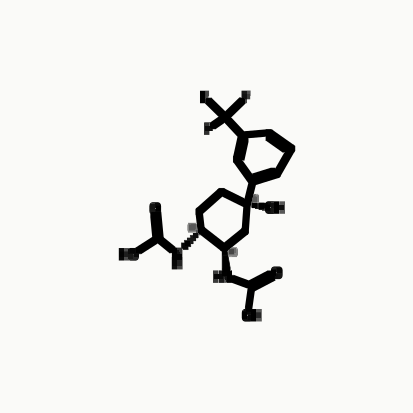 O=C(O)N[C@@H]1CC[C@@](O)(c2cccc(C(F)(F)F)c2)C[C@H]1NC(=O)O